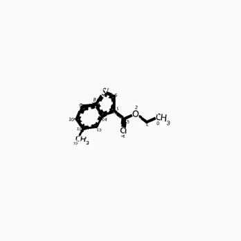 CCOC(=O)c1csc2ccc(C)cc12